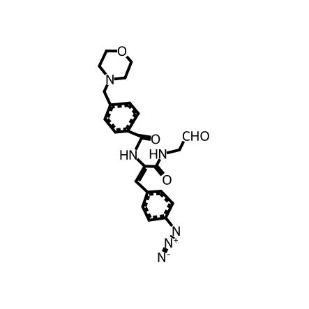 [N-]=[N+]=Nc1ccc(/C=C(/NC(=O)c2ccc(CN3CCOCC3)cc2)C(=O)NCC=O)cc1